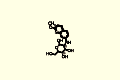 COc1ccc2ccc(N[C@@H]3C(O)OC(CO)[C@@H](O)C3O)cc2n1